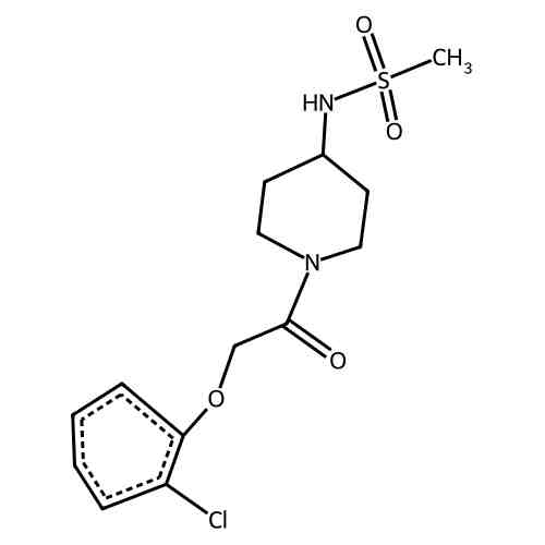 CS(=O)(=O)NC1CCN(C(=O)COc2ccccc2Cl)CC1